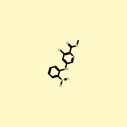 COC(=O)c1ncc(Nc2ccccc2[N+](=O)[O-])cc1Cl